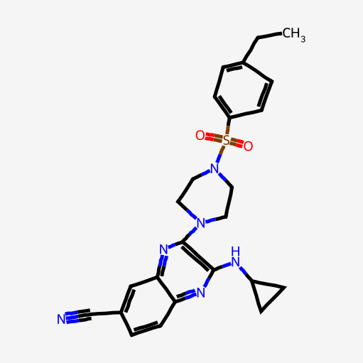 CCc1ccc(S(=O)(=O)N2CCN(c3nc4cc(C#N)ccc4nc3NC3CC3)CC2)cc1